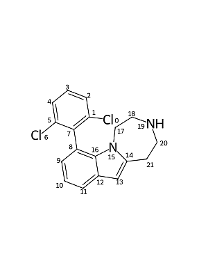 Clc1cccc(Cl)c1-c1cccc2cc3n(c12)CCNCC3